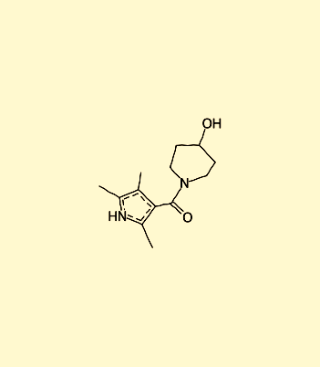 Cc1[nH]c(C)c(C(=O)N2CCC(O)CC2)c1C